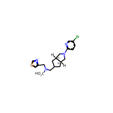 O=C(O)N(Cc1cscn1)CC1C[C@@H]2CN(c3ccc(Br)cn3)C[C@@H]2C1